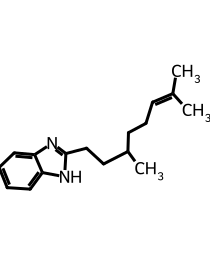 CC(C)=CCCC(C)CCc1nc2ccccc2[nH]1